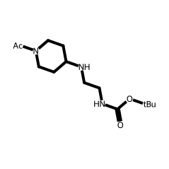 CC(=O)N1CCC(NCCNC(=O)OC(C)(C)C)CC1